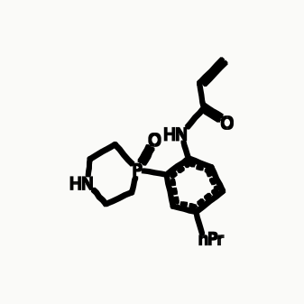 C=CC(=O)Nc1ccc(CCC)cc1P1(=O)CCNCC1